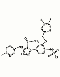 CCS(=O)(=O)Nc1ccc(-c2n[nH]c(Nc3cnc(C)cn3)c2C(N)=O)cc1OCc1ccc(F)c(Cl)c1